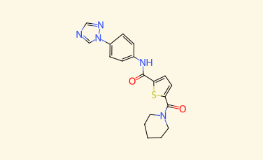 O=C(Nc1ccc(-n2cncn2)cc1)c1ccc(C(=O)N2CCCCC2)s1